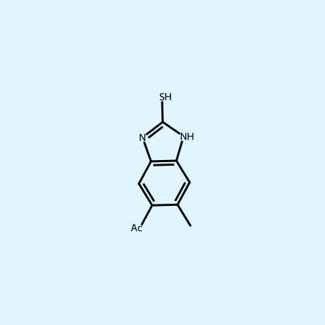 CC(=O)c1cc2nc(S)[nH]c2cc1C